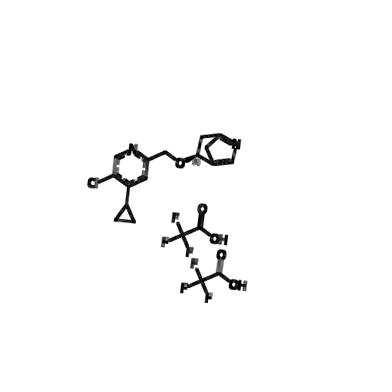 Clc1cnc(CO[C@H]2CC3=NC=C2C3)cc1C1CC1.O=C(O)C(F)(F)F.O=C(O)C(F)(F)F